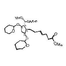 COC(=O)CCC=CCC[C@@H]1[C@@H](C(OC)OC)[C@H](OC2CCCCO2)C[C@@H]1OC1CCCCO1